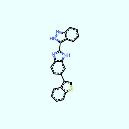 c1ccc2c(-c3nc4ccc(-c5csc6ccccc56)cc4[nH]3)[nH]nc2c1